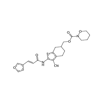 N#Cc1c(NC(=O)C=Cc2ccoc2)sc2c1CCC(COC(=O)N1CCCCO1)C2